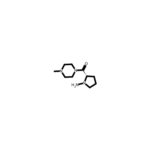 CN1CCN(C(=O)[C@@H]2CCCN2N)CC1